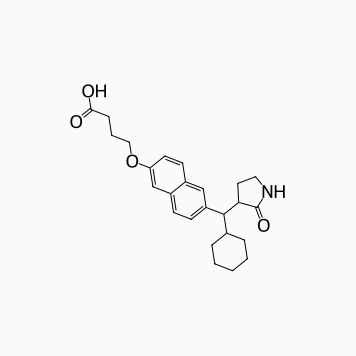 O=C(O)CCCOc1ccc2cc(C(C3CCCCC3)C3CCNC3=O)ccc2c1